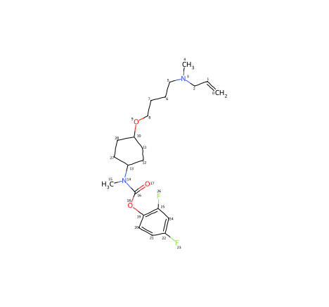 C=CCN(C)CCCCOC1CCC(N(C)C(=O)Oc2ccc(F)cc2F)CC1